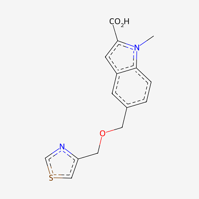 Cn1c(C(=O)O)cc2cc(COCc3cscn3)ccc21